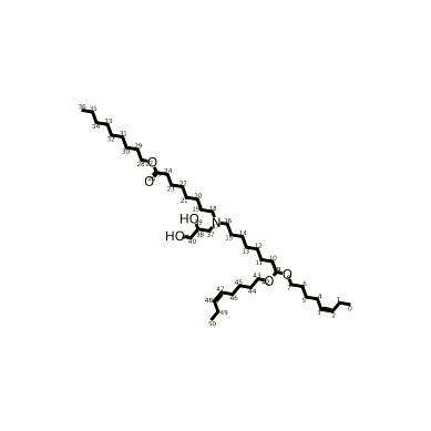 CC/C=C\CCCCOC(CCCCCCCN(CCCCCCCC(=O)OCCCCCCCCC)CC(O)CO)OCCCC/C=C\CC